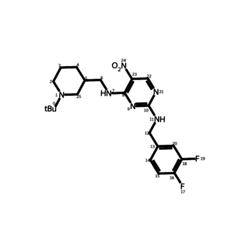 CC(C)(C)N1CCCC(CNc2nc(NCc3ccc(F)c(F)c3)ncc2[N+](=O)[O-])C1